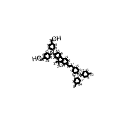 Cc1ccc(N(c2ccc(C)cc2)c2ccc(/C=C/c3ccc4c(c3)C(C)(C)c3cc(N(c5ccc(CO)cc5)c5ccc(CO)cc5)ccc3-4)cc2)cc1